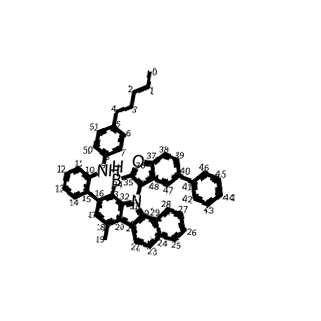 CCCCCc1ccc(Nc2ccccc2-c2cc(C)c3c4ccc5ccccc5c4n4c3c2Bc2oc3ccc(-c5ccccc5)cc3c2-4)cc1